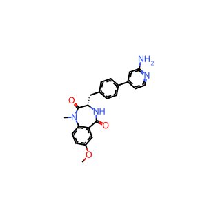 COc1ccc2c(c1)C(=O)N[C@@H](Cc1ccc(-c3ccnc(N)c3)cc1)C(=O)N2C